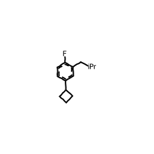 CC(C)Cc1cc(C2CCC2)ccc1F